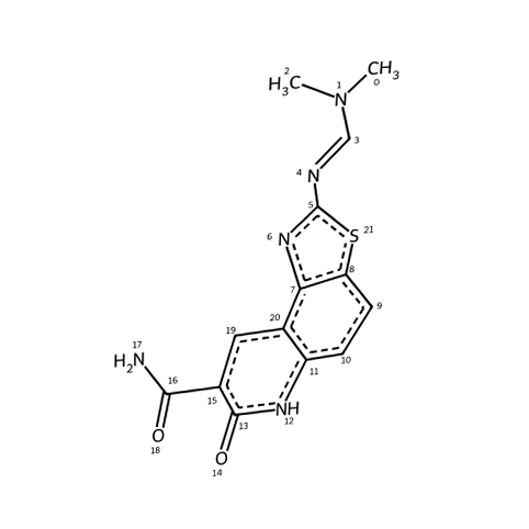 CN(C)/C=N/c1nc2c(ccc3[nH]c(=O)c(C(N)=O)cc32)s1